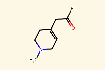 CCC(=O)CC1=CCN(C)CC1